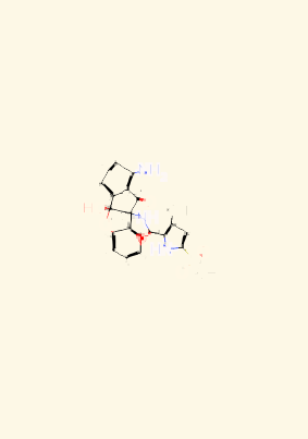 Cc1cc(S(C)(=O)=O)[nH]c1C(=O)NC12C(=O)c3c(N)cccc3C1(O)Oc1ccccc12